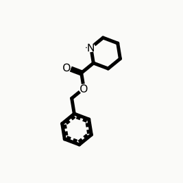 O=C(OCc1ccccc1)C1CCCC[N]1